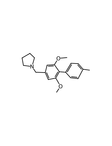 COc1cc(CN2CCCC2)cc(OC)c1-c1ccc(C)cc1